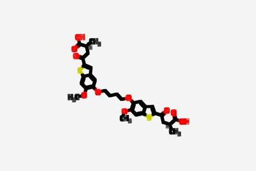 COc1cc2sc(C(=O)C[C@H](C)C(=O)O)cc2cc1OCCCCOc1cc2cc(C(=O)C[C@H](C)C(=O)O)sc2cc1OC